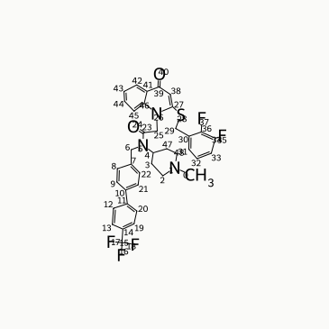 CN1CCC(N(Cc2ccc(-c3ccc(C(F)(F)F)cc3)cc2)C(=O)Cn2c(SCc3cccc(F)c3F)cc(=O)c3ccccc32)CC1